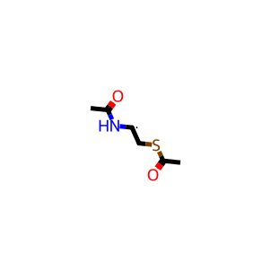 CC(=O)N[CH]CSC(C)=O